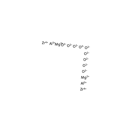 [Al+3].[Al+3].[Mg+2].[Mg+2].[O-2].[O-2].[O-2].[O-2].[O-2].[O-2].[O-2].[O-2].[O-2].[Zr+4].[Zr+4]